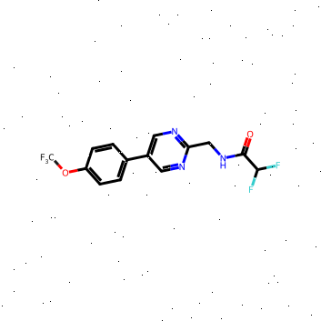 O=C(NCc1ncc(-c2ccc(OC(F)(F)F)cc2)cn1)C(F)F